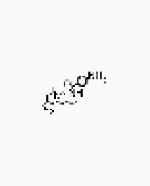 CCCCC1c2sccc2CC(C)N1CCNC(=O)c1ccc(N)cc1